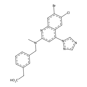 CN(Cc1cccc(CC(=O)O)c1)c1cc(-n2cncn2)c2cc(Cl)c(Br)cc2n1